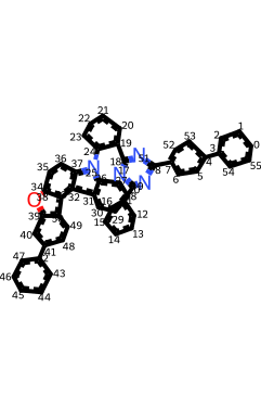 c1ccc(-c2ccc(-c3nc(-c4ccccc4)nc(-c4ccccc4-n4c5ccccc5c5c6c(ccc54)oc4cc(-c5ccccc5)ccc46)n3)cc2)cc1